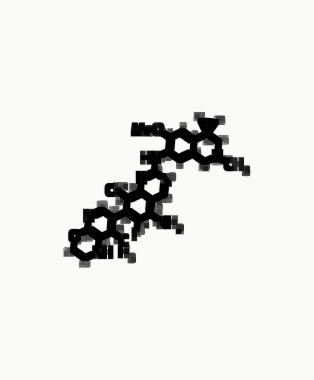 COc1cc2c(cc1Nc1ncc3c(N)c(F)c(-c4cnc5c(c4C)NCCO5)c(Cl)c3n1)CN(C)CC21CC1